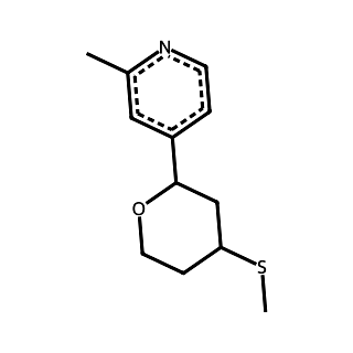 CSC1CCOC(c2ccnc(C)c2)C1